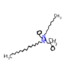 CCCCCCCCCCCCCCCCC[n+]1c(CC(C)c2ccccc2)cn(CCCCCCCCCCC)c1Cc1ccccc1